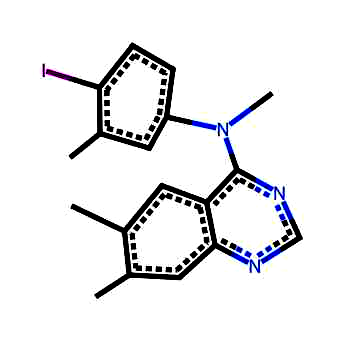 Cc1cc2ncnc(N(C)c3ccc(I)c(C)c3)c2cc1C